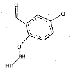 O=Cc1cc(Cl)ccc1OBO